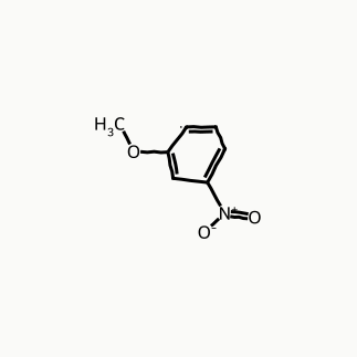 COc1[c]ccc([N+](=O)[O-])c1